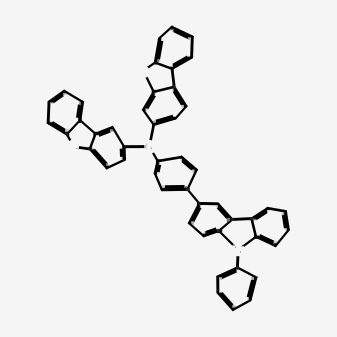 c1ccc(-n2c3ccccc3c3cc(-c4ccc(N(c5ccc6c(c5)sc5ccccc56)c5ccc6sc7ccccc7c6c5)cc4)ccc32)cc1